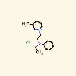 CCN(CC[n+]1cccc(C)c1)c1ccccc1.[Cl-]